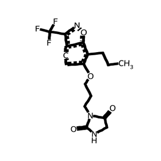 CCCc1c(OCCCN2C(=O)CNC2=O)ccc2c(C(F)(F)F)noc12